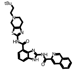 CC(C)(C)CCN1CCc2nc(NC(=O)c3cccc4[nH]c(NC(=O)c5cc6ccccc6cn5)nc34)sc2C1